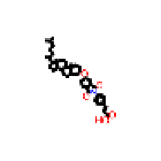 CC(C)CCCC(C)C1CCC2C3CCC4CC(OC5CCC6C(=O)N(c7ccc(C=CC(=O)O)cc7)C(=O)C6C5)CCC4(C)C3CCC12C